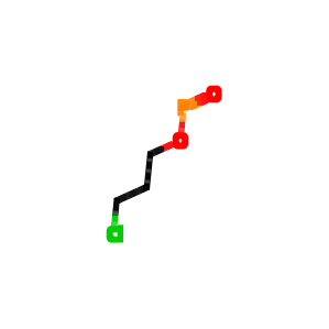 O=POCCCCl